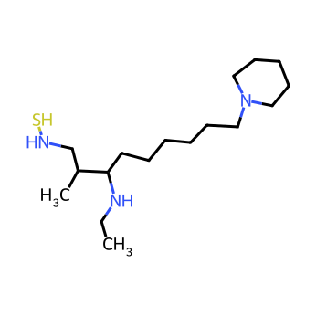 CCNC(CCCCCCN1CCCCC1)C(C)CNS